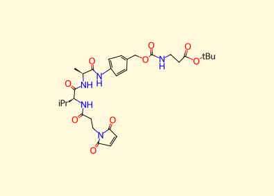 CC(C)[C@H](NC(=O)CCN1C(=O)C=CC1=O)C(=O)N[C@@H](C)C(=O)Nc1ccc(COC(=O)NCCC(=O)OC(C)(C)C)cc1